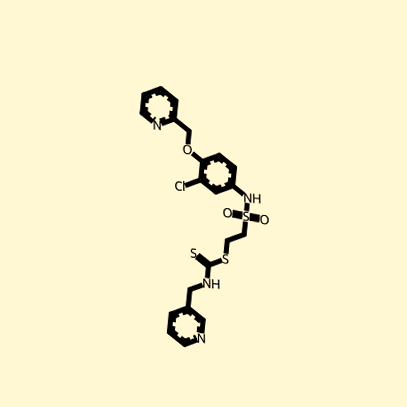 O=S(=O)(CCSC(=S)NCc1cccnc1)Nc1ccc(OCc2ccccn2)c(Cl)c1